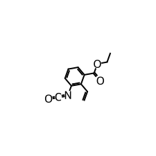 C=Cc1c(N=C=O)cccc1C(=O)OCC